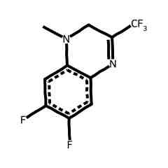 CN1CC(C(F)(F)F)=Nc2cc(F)c(F)cc21